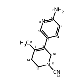 CC1=C(c2ccc(N)nc2)CN(C#N)CC1